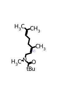 CC(C)=CCC/C(C)=C\CN(C)C(=O)C(C)(C)C